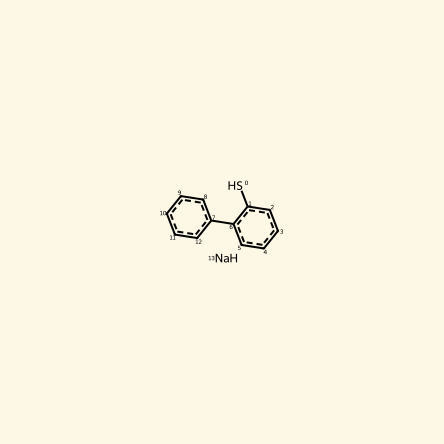 Sc1ccccc1-c1ccccc1.[NaH]